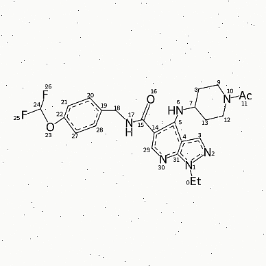 CCn1ncc2c(NC3CCN(C(C)=O)CC3)c(C(=O)NCc3ccc(OC(F)F)cc3)cnc21